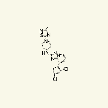 Cc1nsc(N2CCC(Nc3nc4c(-c5ccc(Cl)cc5Cl)cccn4n3)CC2)n1